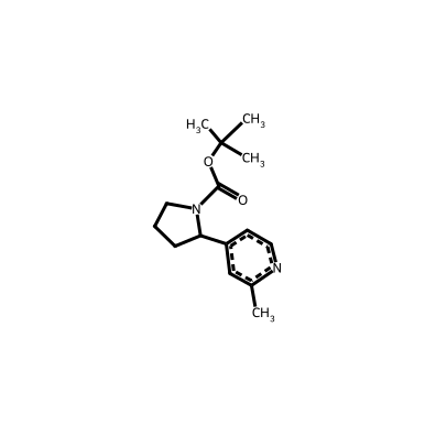 Cc1cc(C2CCCN2C(=O)OC(C)(C)C)ccn1